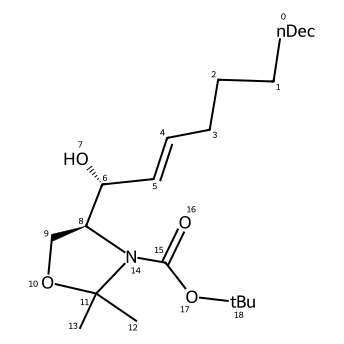 CCCCCCCCCCCCC/C=C/[C@@H](O)[C@@H]1COC(C)(C)N1C(=O)OC(C)(C)C